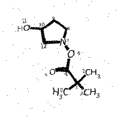 CC(C)(C)C(=O)ON1CCC(O)C1